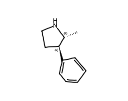 C[C@H]1NCC[C@@H]1c1ccccc1